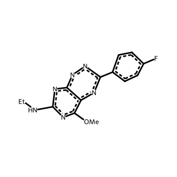 CCNc1nc(OC)c2nc(-c3ccc(F)cc3)nnc2n1